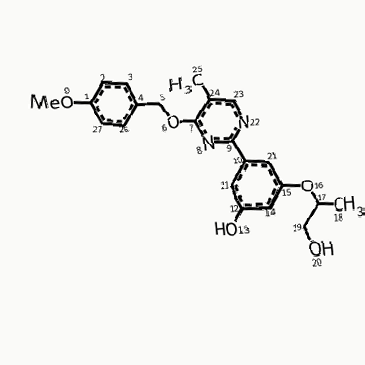 COc1ccc(COc2nc(-c3cc(O)cc(OC(C)CO)c3)ncc2C)cc1